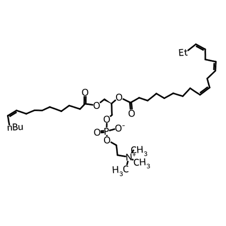 CC/C=C\C/C=C\C/C=C\CCCCCCCC(=O)O[C@H](COC(=O)CCCCCCC/C=C\CCCC)COP(=O)([O-])OCC[N+](C)(C)C